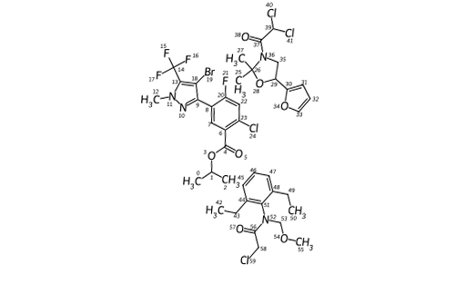 CC(C)OC(=O)c1cc(-c2nn(C)c(C(F)(F)F)c2Br)c(F)cc1Cl.CC1(C)OC(c2ccco2)CN1C(=O)C(Cl)Cl.CCc1cccc(CC)c1N(COC)C(=O)CCl